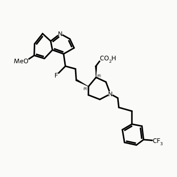 COc1ccc2nccc(C(F)CC[C@@H]3CCN(CCCc4cccc(C(F)(F)F)c4)C[C@@H]3CC(=O)O)c2c1